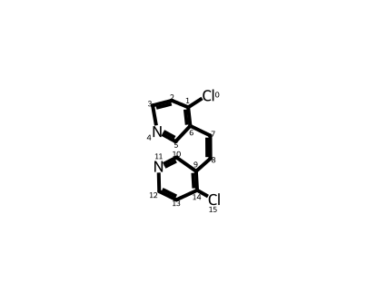 Clc1ccncc1/C=C\c1cnccc1Cl